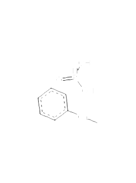 O=[PH](O)O.[CH3][Ca][c]1ccccc1